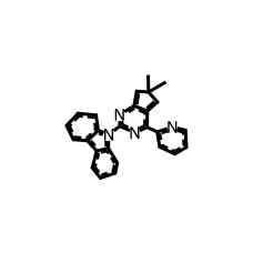 CC1(C)C=c2nc(-n3c4ccccc4c4ccccc43)nc(-c3ccccn3)c2=C1